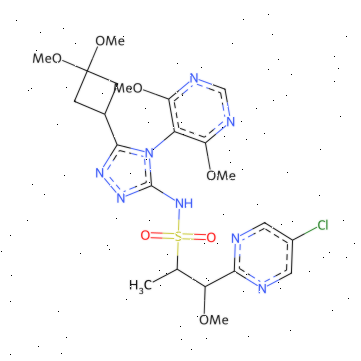 COc1ncnc(OC)c1-n1c(NS(=O)(=O)C(C)C(OC)c2ncc(Cl)cn2)nnc1C1CC(OC)(OC)C1